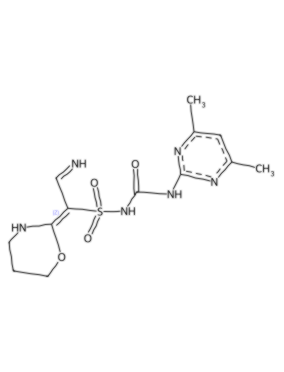 Cc1cc(C)nc(NC(=O)NS(=O)(=O)/C(C=N)=C2/NCCCO2)n1